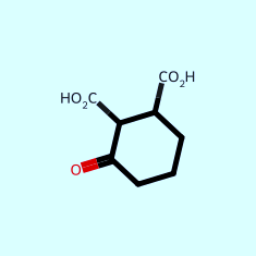 O=C(O)C1CCCC(=O)C1C(=O)O